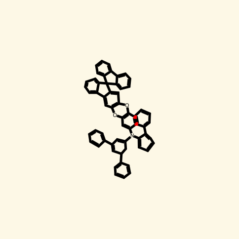 C1=C(c2ccccc2)C=C(N(c2ccc3c(c2)Oc2cc4c(cc2O3)C2(c3ccccc3-c3ccccc32)c2ccccc2-4)c2ccccc2-c2ccccc2)CC1c1ccccc1